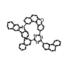 c1ccc2cc(-c3nc(-c4ccc5ccc6ccccc6c5c4)nc(-c4ccc5oc6ccc7ccc(-n8c9ccccc9c9cc%10ccccc%10cc98)cc7c6c5c4)n3)ccc2c1